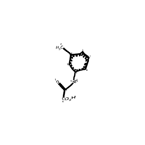 Cc1cccc(NC(=O)C(=O)O)c1